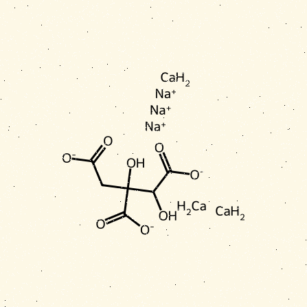 O=C([O-])CC(O)(C(=O)[O-])C(O)C(=O)[O-].[CaH2].[CaH2].[CaH2].[Na+].[Na+].[Na+]